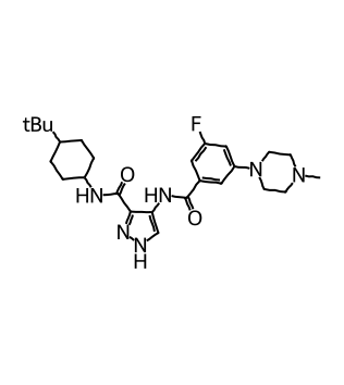 CN1CCN(c2cc(F)cc(C(=O)Nc3c[nH]nc3C(=O)NC3CCC(C(C)(C)C)CC3)c2)CC1